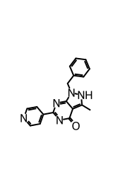 Cc1[nH]n(Cc2ccccc2)c2nc(-c3ccncc3)nc(=O)c1-2